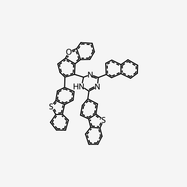 c1ccc2cc(C3=NC(c4c(-c5ccc6c(c5)sc5ccccc56)ccc5oc6ccccc6c45)NC(c4ccc5c(c4)sc4ccccc45)=N3)ccc2c1